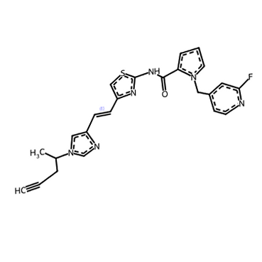 C#CCC(C)n1cnc(/C=C/c2csc(NC(=O)c3cccn3Cc3ccnc(F)c3)n2)c1